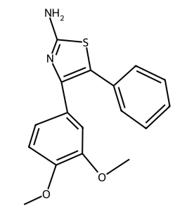 COc1ccc(-c2nc(N)sc2-c2ccccc2)cc1OC